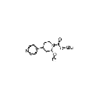 CCOC1CC(c2ccncc2)CCN1C(=O)OC(C)(C)C